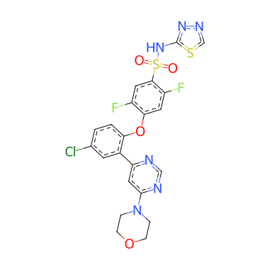 O=S(=O)(Nc1nncs1)c1cc(F)c(Oc2ccc(Cl)cc2-c2cc(N3CCOCC3)ncn2)cc1F